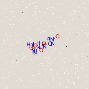 CNS(=O)(=O)c1nn(C)cc1NC(=O)c1coc(-c2ccnc(NCCOC)c2)n1